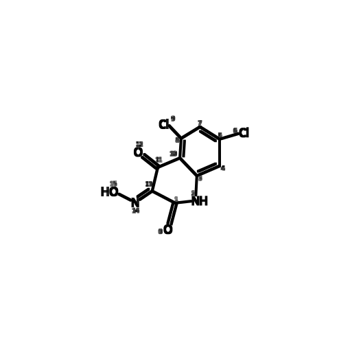 O=C1Nc2cc(Cl)cc(Cl)c2C(=O)C1=NO